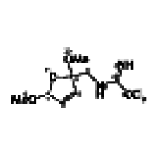 COC1C=CC(CNC(=N)C(Cl)(Cl)Cl)(OC)O1